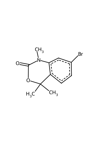 CN1C(=O)OC(C)(C)c2ccc(Br)cc21